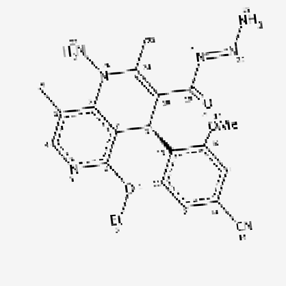 CCOc1ncc(C)c2c1[C@H](c1ccc(C#N)cc1OC)C(C(=O)N=NN)=C(C)N2N